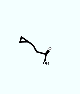 O=C(O)C[CH]C1CC1